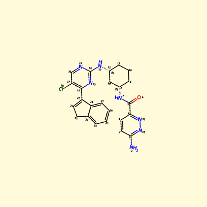 Nc1ccc(C(=O)N[C@H]2CCC[C@@H](Nc3ncc(Cl)c(C4=CCc5ccccc54)n3)C2)nn1